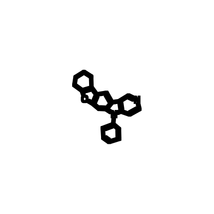 c1ccc(-n2c3ccncc3c3cc4c5c(oc4cc32)CCCC5)cc1